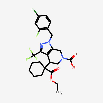 CCOC(=O)C1(C2CN(C(=O)O)Cc3c2c(C(F)(F)F)nn3Cc2ccc(Cl)cc2F)CCCCC1